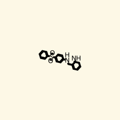 N=C1CC=CC=C1CNc1ccc(S(=O)(=O)c2ccccc2)cc1